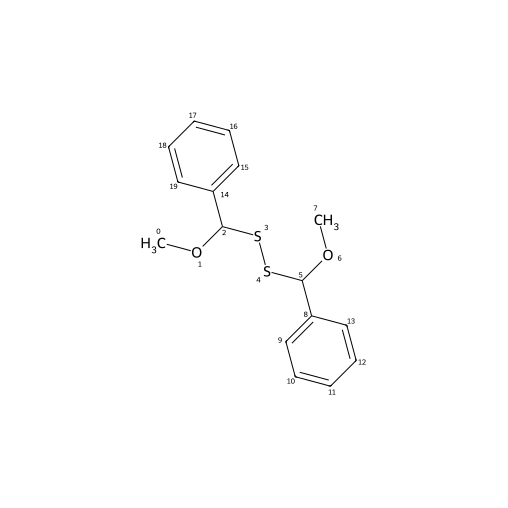 COC(SSC(OC)c1ccccc1)c1ccccc1